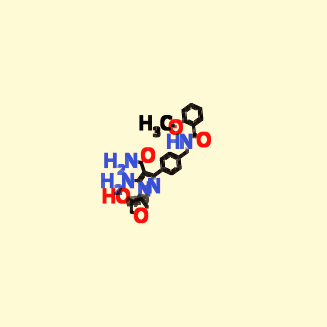 COc1ccccc1C(=O)NCc1ccc(-c2nn([C@@H]3COC[C@H]3O)c(N)c2C(N)=O)cc1